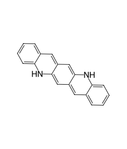 C1=c2cc3c(cc2Nc2ccccc21)=Cc1ccccc1N3